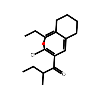 CC\C(C)=C1/CCCC/C1=C/C(C(=O)C(C)CC)=C(\C)Cl